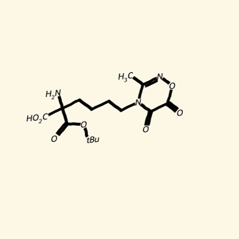 Cc1noc(=O)c(=O)n1CCCCC(N)(C(=O)O)C(=O)OC(C)(C)C